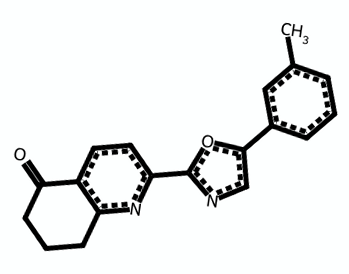 Cc1cccc(-c2cnc(-c3ccc4c(n3)CCCC4=O)o2)c1